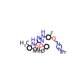 COc1ccccc1Oc1nc(Nc2ccc(OCCN3CCN(C(C)C)CC3)c(F)c2)ncc1C(=O)Nc1c(C)cccc1C